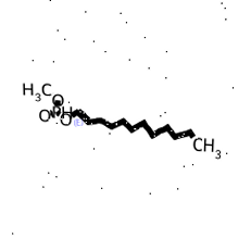 CCCCCCCCCC/C=C/O[PH](=O)OC